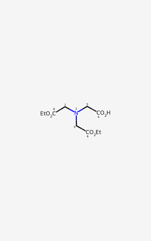 CCOC(=O)CN(CC(=O)O)CC(=O)OCC